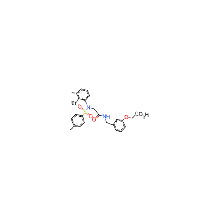 CCc1c(C)cccc1N(CC(=O)NCc1cccc(OCC(=O)O)c1)S(=O)(=O)c1ccc(C)cc1